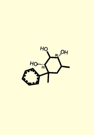 CC1CC(C)(c2ccccc2)[C@H](O)C(O)[C@@H]1O